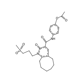 CC(=O)Oc1ccc(NC(=O)c2cc3c(n(CCCS(C)(=O)=O)c2=O)CCCCCC3)cc1